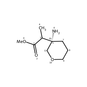 COC(=O)C(C)[C@@]1(N)CCCOC1